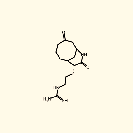 N=C(N)NCCC[C@H]1C(=O)NC2CC(=O)CCCC1C2